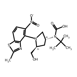 Cc1nc2c(N3C[C@H](N(C(=O)O)C(C)(C)C)C[C@H]3CO)c([N+](=O)[O-])ccc2s1